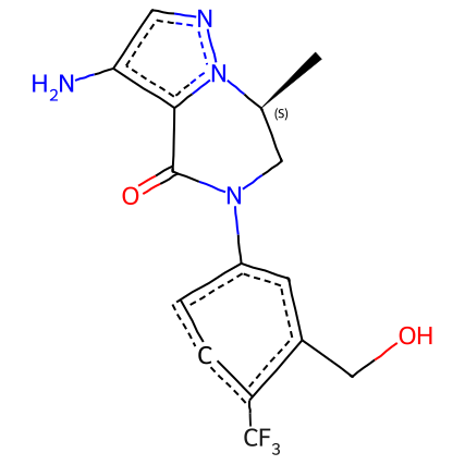 C[C@H]1CN(c2ccc(C(F)(F)F)c(CO)c2)C(=O)c2c(N)cnn21